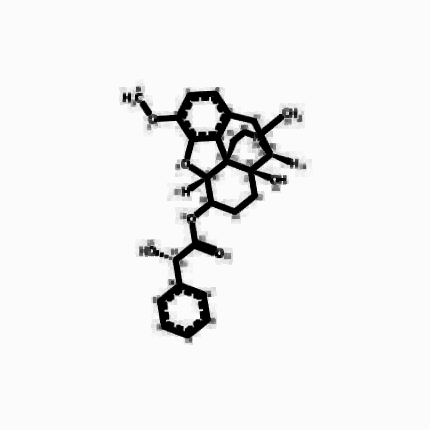 COc1ccc2c3c1O[C@H]1C(OC(=O)[C@@H](O)c4ccccc4)CC[C@@]4(O)[C@@H](C2)N(C)CC[C@]314